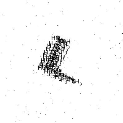 C=C.C=C.C=C.C=C.C=C.C=C.C=C.C=CC.C=CC.C=CC.C=CC.C=CC.C=CC.C=CC.C=CC.COCCO.OCCO